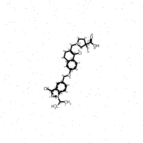 CC(C)n1nc(Cl)c2cc(COc3ccc4c(c3)CCC(CN3CCC(F)(C(=O)O)C3)=C4Cl)ccc21